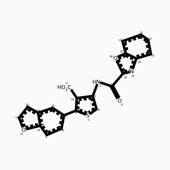 O=C(Nc1csc(-c2ccc3occc3c2)c1C(=O)O)c1nc2ccccc2o1